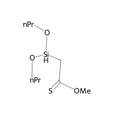 CCCO[SiH](CC(=S)OC)OCCC